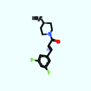 O=C(O)C1CCN(C(=O)/C=C/c2cc(F)cc(F)c2)CC1